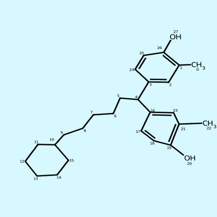 Cc1cc(C(CCCCCC2CCCCC2)c2ccc(O)c(C)c2)ccc1O